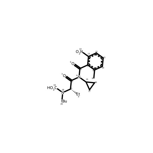 CC[C@@H](C(=O)N(C(=O)c1c(C)cccc1[N+](=O)[O-])C1CC1)N(C(=O)O)C(C)(C)C